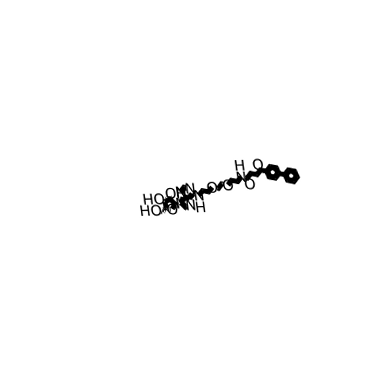 O=C(CCC(=O)c1ccc(-c2ccccc2)cc1)NCCOCCOCCNc1ncnc2c1ncn2[C@@H]1O[C@H](CO)C(O)[C@@H]1O